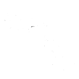 Cl.O=c1[nH]c([C@H]2CC[C@H](N3CCN(c4cccc(F)c4)CC3)C2)nc2c1CC1(CC2)CC1